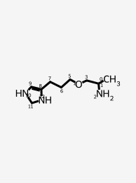 CC(N)COCCCC1=CNCN1